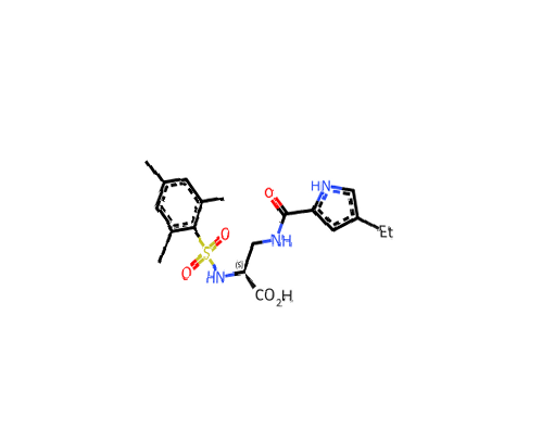 CCc1c[nH]c(C(=O)NC[C@H](NS(=O)(=O)c2c(C)cc(C)cc2C)C(=O)O)c1